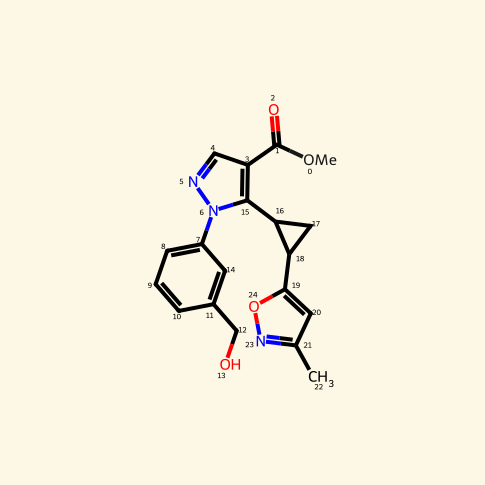 COC(=O)c1cnn(-c2cccc(CO)c2)c1C1CC1c1cc(C)no1